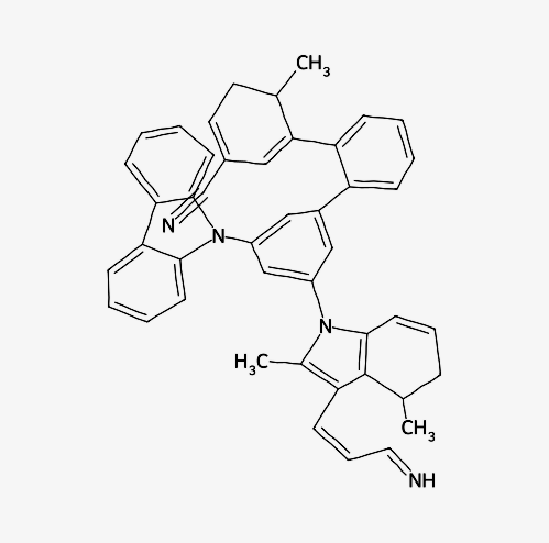 Cc1c(/C=C\C=N)c2c(n1-c1cc(-c3ccccc3C3=CC(C#N)=CCC3C)cc(-n3c4ccccc4c4ccccc43)c1)C=CCC2C